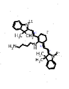 CCN1/C(=C/C=C2\CCCC(/C=C/C3=[N+](CC)c4ccccc4C3(C)C)=C2NCCCCN)C(C)(C)c2ccccc21.[I-]